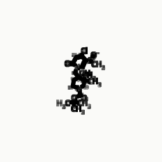 C[S+]([O-])c1cn(CC2(O)CCN(C(=O)OC(C)(C)C)CC2(C)C)c(=O)cc1Cl